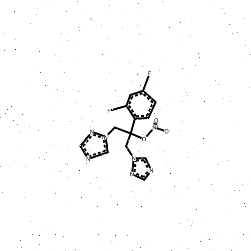 O=[N+]([O-])OC(Cn1cncn1)(Cn1cncn1)c1ccc(F)cc1F